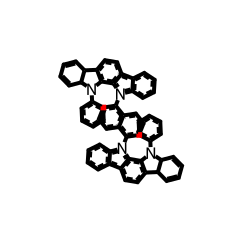 C1=CC2c3ccc4c5ccccc5n(-c5cccc6c(-n7c8ccccc8c8ccc9c(c87)N(c7ccccc7)C7C=CC=CC97)cccc56)c4c3N(c3ccccc3)C2C=C1